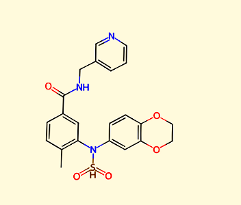 Cc1ccc(C(=O)NCc2cccnc2)cc1N(c1ccc2c(c1)OCCO2)[SH](=O)=O